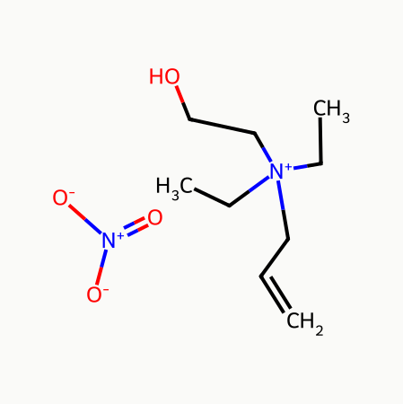 C=CC[N+](CC)(CC)CCO.O=[N+]([O-])[O-]